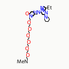 CCc1cnn2c(NCc3ccc(=O)n(CCOCCOCCOCCOCCOCCOCCNC)c3)cc(N3CCCCC3)nc12